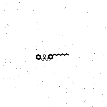 CCCCCCCCc1ccc(OC(=O)Oc2ccccc2)cc1